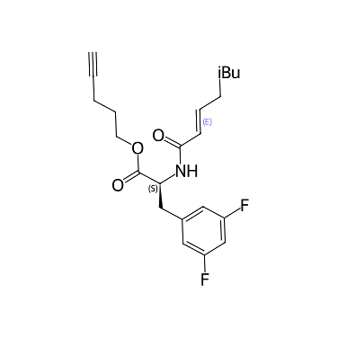 C#CCCCOC(=O)[C@H](Cc1cc(F)cc(F)c1)NC(=O)/C=C/CC(C)CC